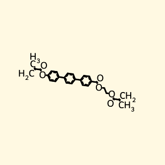 C=C(C)C(=O)OCCOC(=O)c1ccc(-c2ccc(-c3ccc(OC(=O)C(=C)C)cc3)cc2)cc1